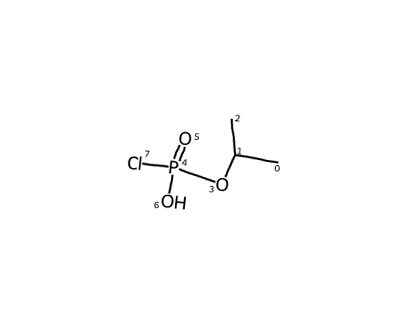 CC(C)OP(=O)(O)Cl